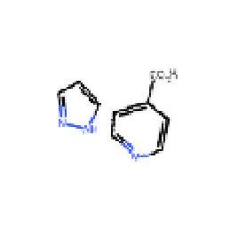 O=C(O)c1ccncc1.c1cn[nH]c1